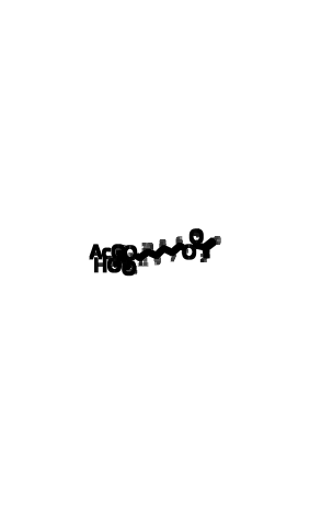 C=C(C)C(=O)OCCCCCCOP(=O)(O)OC(C)=O